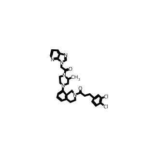 CC1CN(c2cccc3c2CN(C(=O)CCc2ccc(Cl)c(Cl)c2)CC3)CCN1C(=O)Cn1cnc2cccnc21